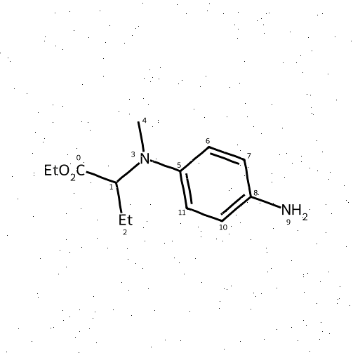 CCOC(=O)C(CC)N(C)c1ccc(N)cc1